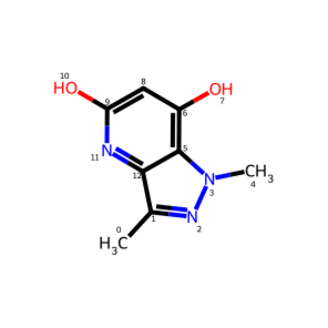 Cc1nn(C)c2c(O)cc(O)nc12